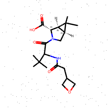 CC(C)(C)C(NC(=O)CC1COC1)C(=O)N1C[C@H]2[C@@H]([C@H]1C(=O)O)C2(C)C